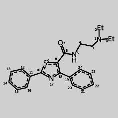 CCN(CC)CCNC(=O)c1sc(-c2ccccc2)nc1-c1ccccc1